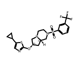 O=S(=O)(c1cccc(C(F)(F)F)c1)N1CCN2C[C@H](Oc3ncc(C4CC4)s3)C[C@H]2C1